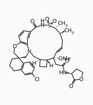 CO[C@@]1(CC(=O)N[C@H]2CCOC2=O)/C=C/C[C@H](C)[C@@H](C)S(=O)(=O)NC(=O)c2ccc3c(c2)N(C[C@@H]2CC[C@H]21)C[C@@]1(CCCc2cc(Cl)ccc21)CO3